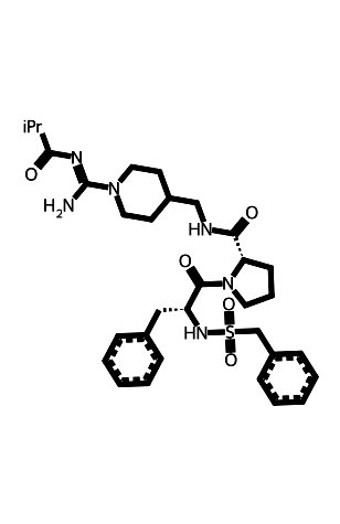 CC(C)C(=O)/N=C(\N)N1CCC(CNC(=O)[C@@H]2CCCN2C(=O)[C@@H](Cc2ccccc2)NS(=O)(=O)Cc2ccccc2)CC1